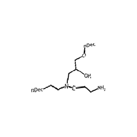 CCCCCCCCCCCCN(CCCN)CC(O)COCCCCCCCCCC